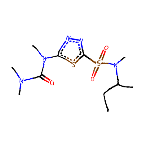 CCC(C)N(C)S(=O)(=O)c1nnc(N(C)C(=O)N(C)C)s1